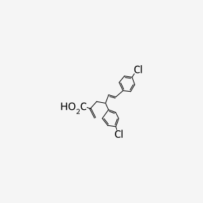 C=C(CC(C=Cc1ccc(Cl)cc1)c1ccc(Cl)cc1)C(=O)O